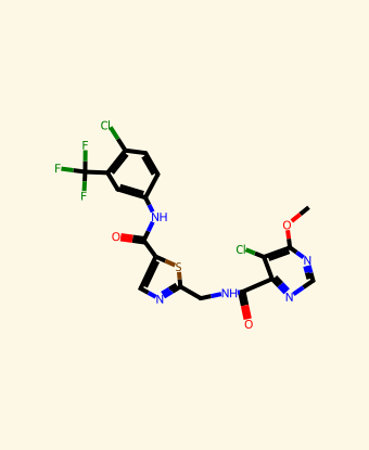 COc1ncnc(C(=O)NCc2ncc(C(=O)Nc3ccc(Cl)c(C(F)(F)F)c3)s2)c1Cl